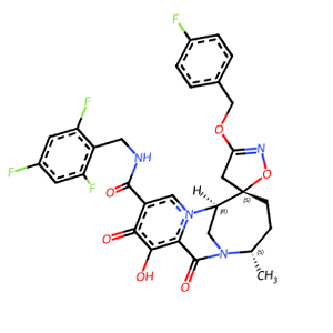 C[C@H]1CC[C@]2(CC(OCc3ccc(F)cc3)=NO2)[C@H]2CN1C(=O)c1c(O)c(=O)c(C(=O)NCc3c(F)cc(F)cc3F)cn12